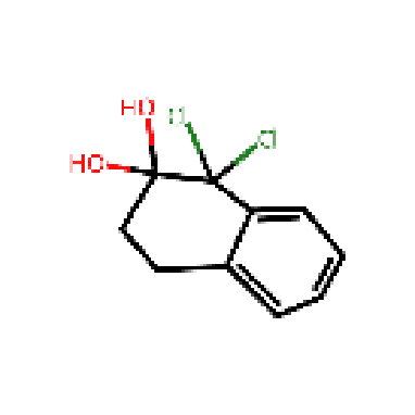 OC1(O)CCc2ccccc2C1(Cl)Cl